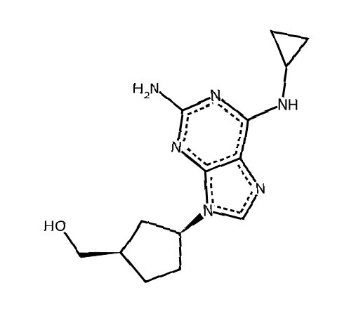 Nc1nc(NC2CC2)c2ncn([C@H]3CC[C@@H](CO)C3)c2n1